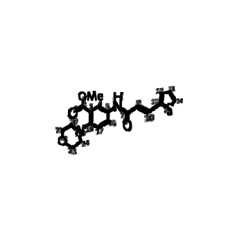 COC(=O)c1cc(NC(=O)/C=C/c2cccs2)ccc1N1CCOCC1